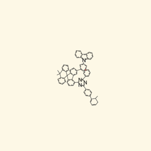 CC1CC=CC=C1c1ccc(-c2nc(-c3ccccc3)nc(-c3cccc4c3-c3cc(-c5cccc(-n6c7ccccc7c7ccccc76)c5)ccc3C43c4ccccc4C(C)(C)c4ccccc43)n2)cc1